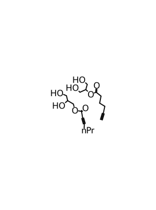 C#CCCCC(=O)OC(CO)CO.CCCC#CC(=O)OCC(O)CO